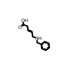 O=C(O)CC=CCNCc1ccccc1